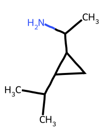 CC(C)C1CC1C(C)N